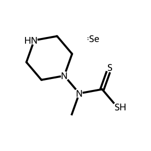 CN(C(=S)S)N1CCNCC1.[Se]